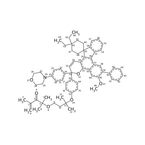 C=C(C)C(=O)C(C)(C)OCCC(C)(C)Oc1ccc(C2(c3ccc(N4CCOCC4)cc3)C=Cc3c4c(c5cc(-c6ccccc6)c(OC)cc5c3O2)-c2ccccc2C42CCC(CC)(CC)CC2)cc1